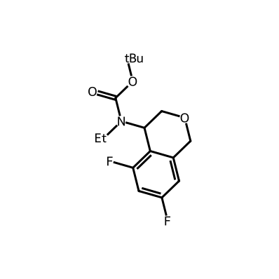 CCN(C(=O)OC(C)(C)C)C1COCc2cc(F)cc(F)c21